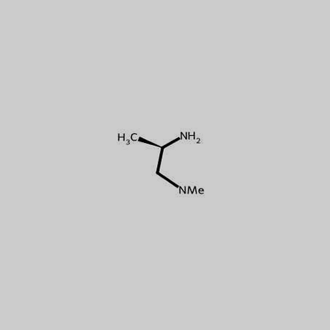 CNC[C@@H](C)N